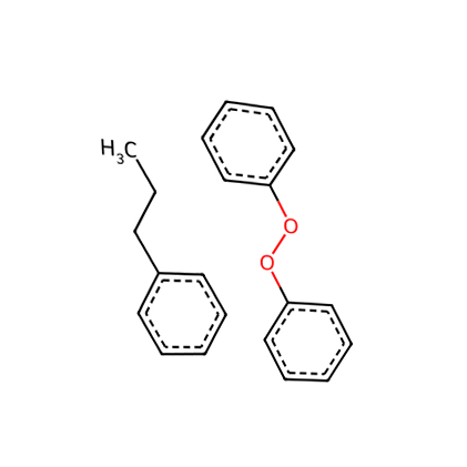 CCCc1ccccc1.c1ccc(OOc2ccccc2)cc1